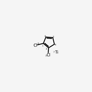 ClC1=C(Cl)CC=C1.[Ti]